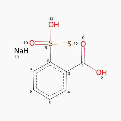 O=C(O)c1ccccc1S(=O)(O)=S.[NaH]